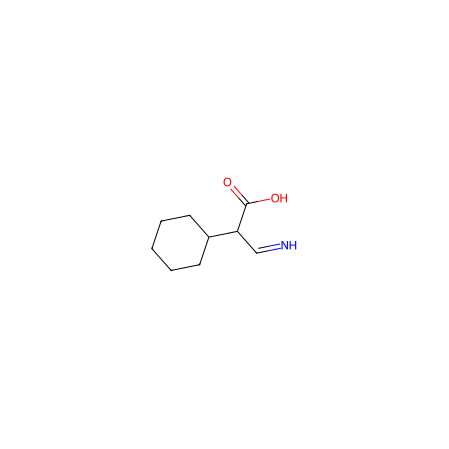 N=CC(C(=O)O)C1CCCCC1